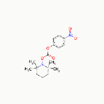 CC1(C)CCCC(C)(C)N1OC(=O)Oc1ccc([N+](=O)[O-])cc1